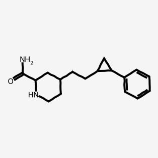 NC(=O)C1CC([CH]CC2CC2c2ccccc2)CCN1